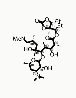 CC[C@H]1OC(=O)O[C@]1(C)[C@@H](CC)OC(=O)[C@H](C)[C@@H](O)[C@H](C)[C@@H](OC1O[C@H](C)C[C@H](N(C)C)[C@H]1O)[C@](C)(O)C[C@@H](C)CNC